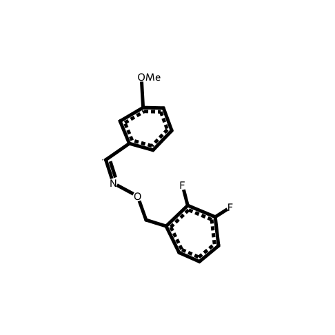 COc1cccc(/[C]=N\OCc2cccc(F)c2F)c1